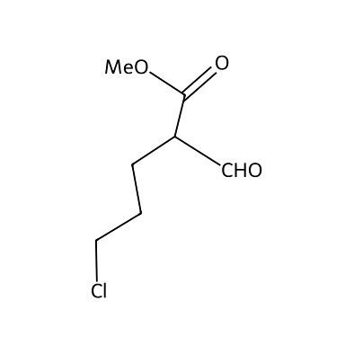 COC(=O)C(C=O)CCCCl